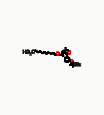 CC(C)(COCCCCCCCCCCC(=O)O)C1=C(c2cccc(O[Si](C)(C)C(C)(C)C)c2)OCC1(C)C